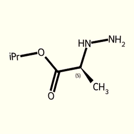 CC(C)OC(=O)[C@H](C)NN